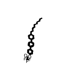 CCCCCCCCCCC1CCC(c2ccc(-c3ccc(OC(=O)C(F)(F)F)cc3)cc2)CC1